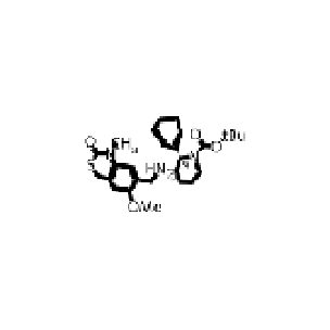 COc1cc2c(cc1CN[C@H]1CCCN(C(=O)OC(C)(C)C)[C@H]1c1ccccc1)N(C)C(=O)SC2